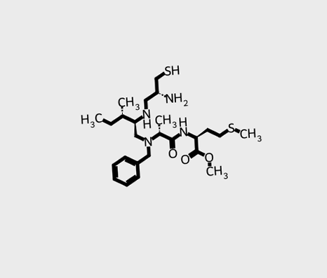 CC[C@H](C)[C@H](CN(Cc1ccccc1)[C@H](C)C(=O)N[C@@H](CCSC)C(=O)OC)NC[C@@H](N)CS